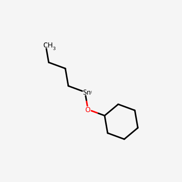 CCC[CH2][Sn][O]C1CCCCC1